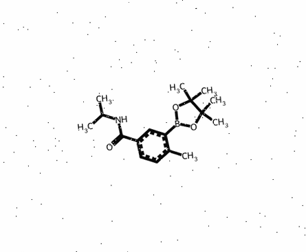 Cc1ccc(C(=O)NC(C)C)cc1B1OC(C)(C)C(C)(C)O1